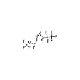 Cn1nc(C(F)OC(F)(F)F)cc1C(F)(F)C(F)(F)F